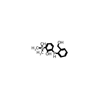 C[Si](C)(C)c1cccc(Pc2ccccc2CO)c1O